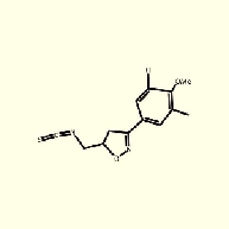 COc1c(C)cc(C2=NOC(CN=C=S)C2)cc1Cl